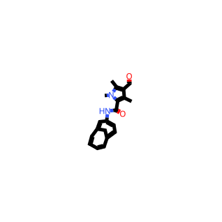 Cc1c(C=O)c(C)n(C)c1C(=O)NC1=CC=C2C=CC=CC(=C1)C2